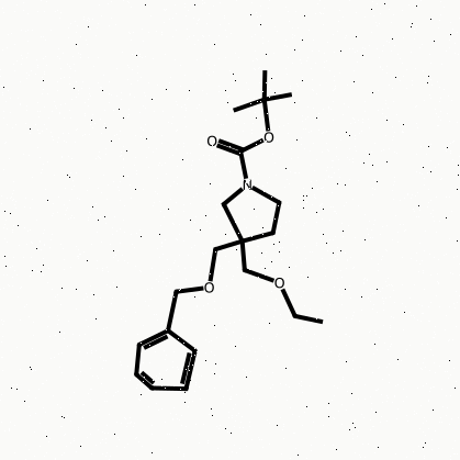 CCOCC1(COCc2ccccc2)CCN(C(=O)OC(C)(C)C)C1